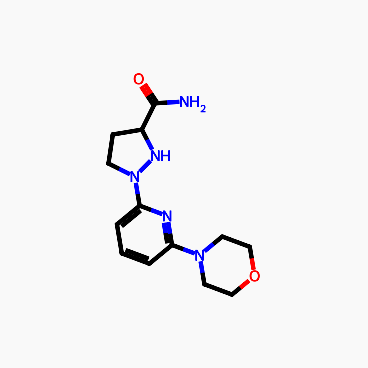 NC(=O)C1CCN(c2cccc(N3CCOCC3)n2)N1